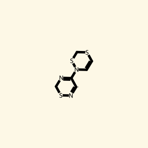 [C]1=NSCN=C1N1C=CSCS1